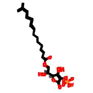 CC(C)CCCCCCCCCCCCC(=O)OC[C@H](O)[C@H]1OC(=O)C(OP(=O)(O)O)=C1O